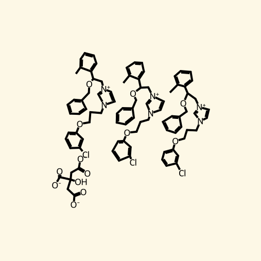 Cc1ccccc1C(C[n+]1ccn(CCCOc2cccc(Cl)c2)c1)OCc1ccccc1.Cc1ccccc1C(C[n+]1ccn(CCCOc2cccc(Cl)c2)c1)OCc1ccccc1.Cc1ccccc1C(C[n+]1ccn(CCCOc2cccc(Cl)c2)c1)OCc1ccccc1.O=C([O-])CC(O)(CC(=O)[O-])C(=O)[O-]